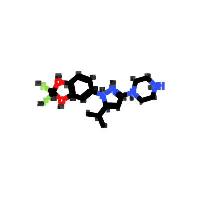 CC(C)c1cc(N2CCNCC2)nn1-c1ccc2c(c1)OC(F)(F)O2